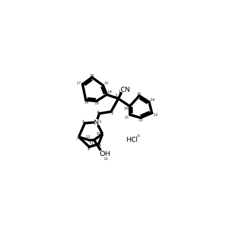 Cl.N#CC(CCN1CC2CCC1C(O)C2)(c1ccccc1)c1ccccc1